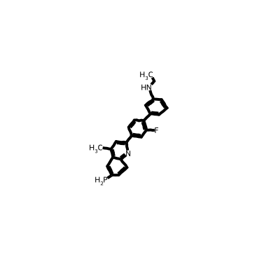 CCNc1cccc(-c2ccc(-c3cc(C)c4cc(P)ccc4n3)cc2F)c1